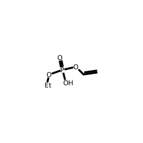 C=COP(=O)(O)OCC